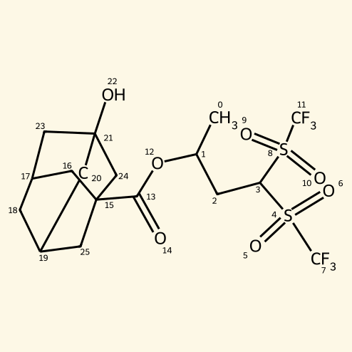 CC(CC(S(=O)(=O)C(F)(F)F)S(=O)(=O)C(F)(F)F)OC(=O)C12CC3CC(CC(O)(C3)C1)C2